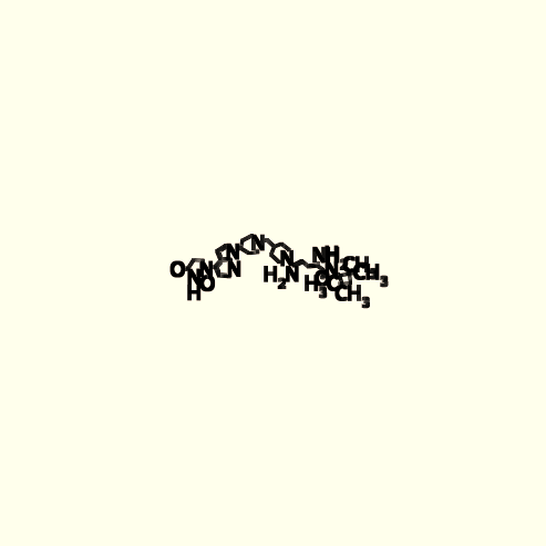 CC1(C)CC(C)(C)C1NC(=O)/C(N)=C/C=C(\N)N1CCC(CN2CCC(n3ccc4c(N5CCC(=O)NC5=O)ccnc43)CC2)CC1